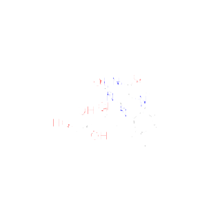 Cc1cc2c(cc1C)[n+](C)c1c(=O)[nH]c(=O)nc-1n2CC(O)C(O)C(O)CO